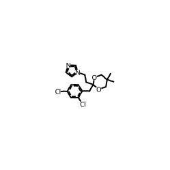 CC1(C)COC(CCn2ccnc2)(Cc2ccc(Cl)cc2Cl)OC1